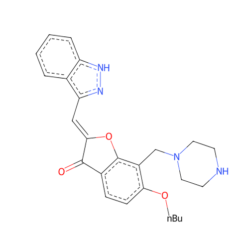 CCCCOc1ccc2c(c1CN1CCNCC1)O/C(=C\c1n[nH]c3ccccc13)C2=O